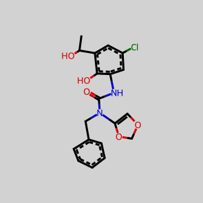 CC(O)c1cc(Cl)cc(NC(=O)N(Cc2ccccc2)C2=COCO2)c1O